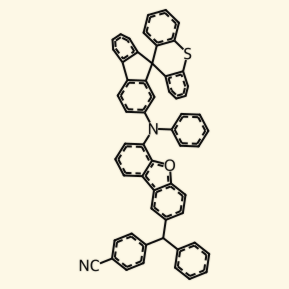 N#Cc1ccc(C(c2ccccc2)c2ccc3oc4c(N(c5ccccc5)c5ccc6c(c5)C5(c7ccccc7Sc7ccccc75)c5ccccc5-6)cccc4c3c2)cc1